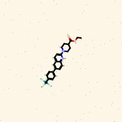 CCOC(=O)C1CCN(c2ccc3cc(-c4ccc(C(F)(F)F)cc4)ccc3n2)CC1